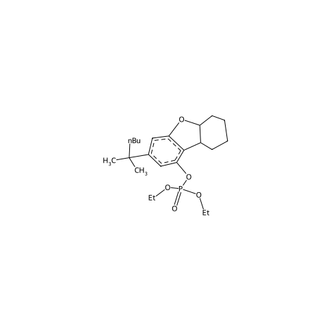 CCCCC(C)(C)c1cc2c(c(OP(=O)(OCC)OCC)c1)C1CCCCC1O2